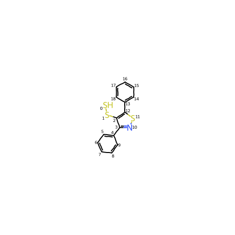 SSc1c(-c2ccccc2)nsc1-c1ccccc1